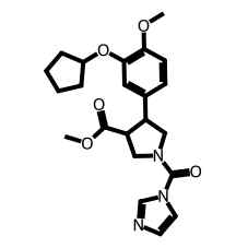 COC(=O)C1CN(C(=O)n2ccnc2)CC1c1ccc(OC)c(OC2CCCC2)c1